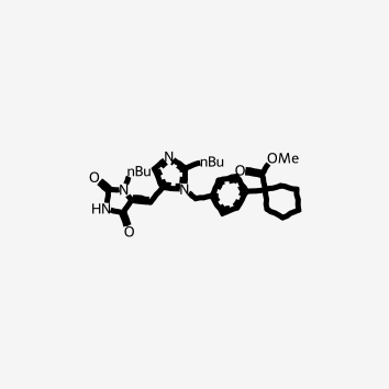 CCCCc1ncc(C=C2C(=O)NC(=O)N2CCCC)n1Cc1ccc(C2(C(=O)OC)CCCCC2)cc1